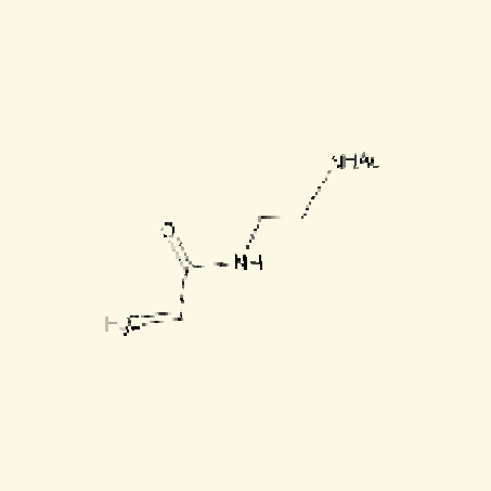 C=CC(=O)NCCNC(C)=O